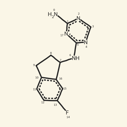 Nc1ncnc(NC2CCc3ccc(F)cc32)n1